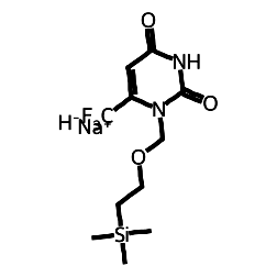 C[Si](C)(C)CCOCn1c(C(F)(F)F)cc(=O)[nH]c1=O.[H-].[Na+]